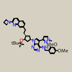 COc1ccc(CNc2ncnc3c2c(-c2ccn(C)n2)cn3[C@H]2CC(O[Si](C)(C)C(C)(C)C)[C@@H](CCc3ccc4ccc(N5CCC5)nc4c3)C2)c(OC)c1